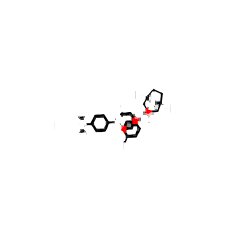 CS(=O)(=O)c1ccc(-n2ccc(OC3C[C@H]4CC[C@H](C3)N4C(=O)Oc3ccc(Cl)cc3)cc2=O)cc1